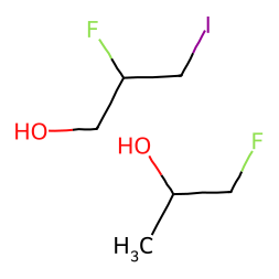 CC(O)CF.OCC(F)CI